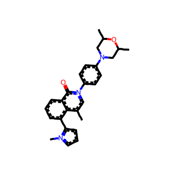 Cc1cn(-c2ccc(N3CC(C)OC(C)C3)cc2)c(=O)c2cccc(-c3cccn3C)c12